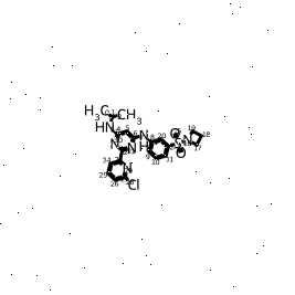 CC(C)Nc1cc(Nc2cccc(S(=O)(=O)N3CCC3)c2)nc(-c2cccc(Cl)n2)n1